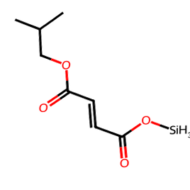 CC(C)COC(=O)/C=C/C(=O)O[SiH3]